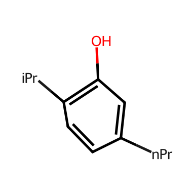 CCCc1ccc(C(C)C)c(O)c1